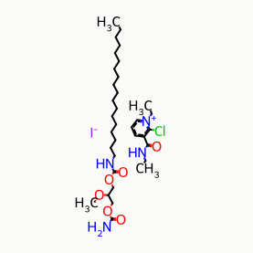 CCCCCCCCCCCCCCCCCCNC(=O)OCC(COC(N)=O)OC.CCNC(=O)c1ccc[n+](CC)c1Cl.[I-]